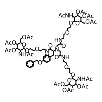 CC(=O)NC1C(OCCOCCNC(=O)CN(CC(=O)NCCOCCOC2OC(COC(C)=O)C(OC(C)=O)C(OC(C)=O)C2NC(C)=O)C(Cc2ccc(OCc3ccccc3)cc2)C(=O)NCCOCCOC2OC(COC(C)=O)C(OC(C)=O)C(OC(C)=O)C2NC(C)=O)OC(COC(C)=O)C(OC(C)=O)C1OC(C)=O